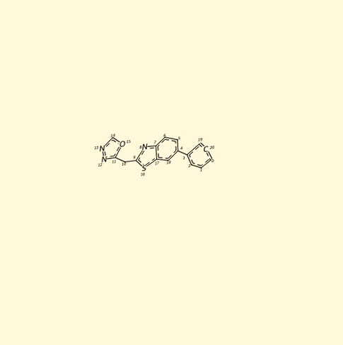 c1ccc(-c2ccc3nc(Cc4nnco4)sc3c2)cc1